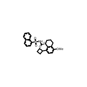 COc1ccc(C2CCC2)c2c1CCC[C@@H]2C(=O)NS(=O)(=O)c1cccc2ccccc12